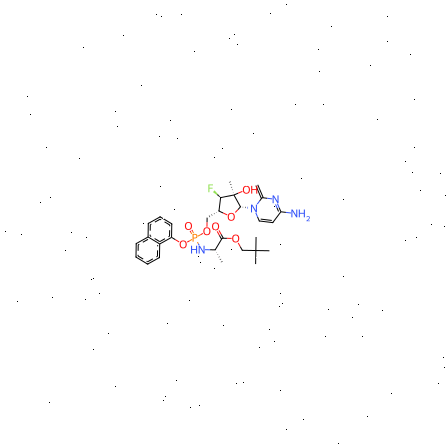 C=C1N=C(N)C=CN1[C@@H]1O[C@H](COP(=O)(N[C@@H](C)C(=O)OCC(C)(C)C)Oc2cccc3ccccc23)[C@@H](F)[C@@]1(C)O